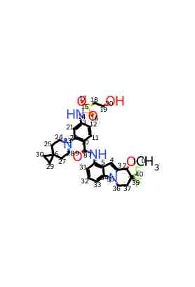 COC1c2cc3c(NC(=O)c4ccc(NS(=O)(=O)CCO)cc4N4CCC5(CC4)CC5)cccc3n2CCC1(F)F